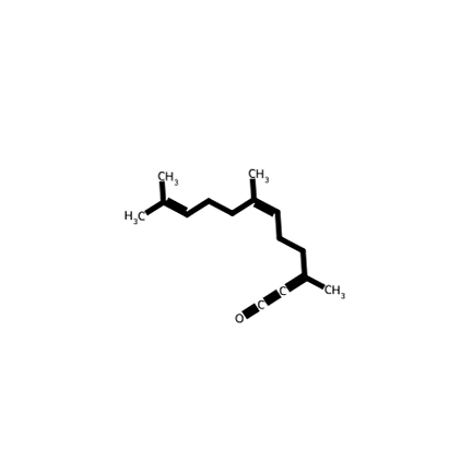 CC(=C=C=O)CCC=C(C)CCC=C(C)C